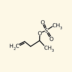 C=CCC(C)OS(C)(=O)=O